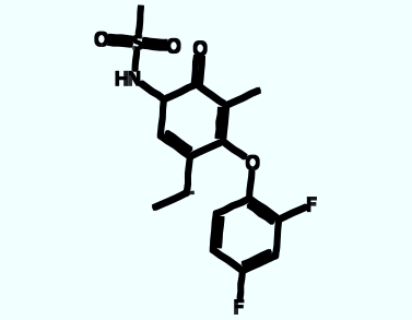 C[CH]C1=CC(NS(C)(=O)=O)C(=O)C(C)=C1Oc1ccc(F)cc1F